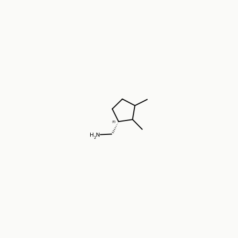 CC1CC[C@@H](CN)C1C